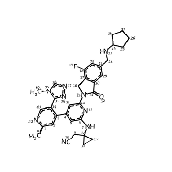 Cc1cc(-c2cc(NC3(CC#N)CC3)nc(N3Cc4c(F)cc(CNC5CCCC5)cc4C3=O)c2)c(-c2nncn2C)cn1